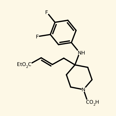 CCOC(=O)C=CCC1(Nc2ccc(F)c(F)c2)CCN(C(=O)O)CC1